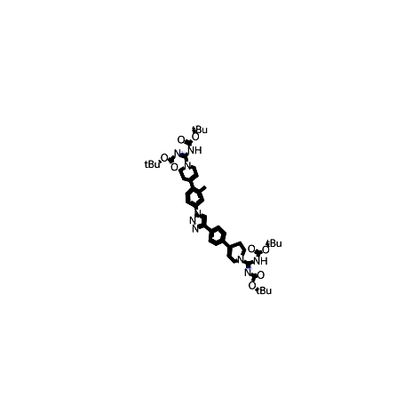 Cc1cc(-n2cc(-c3ccc(C4=CCN(/C(=N/C(=O)OC(C)(C)C)NC(=O)OC(C)(C)C)CC4)cc3)nn2)ccc1C1=CCN(/C(=N\C(=O)OC(C)(C)C)NC(=O)OC(C)(C)C)CC1